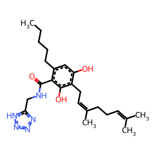 CCCCCc1cc(O)c(CC=C(C)CCC=C(C)C)c(O)c1C(=O)NCc1nnn[nH]1